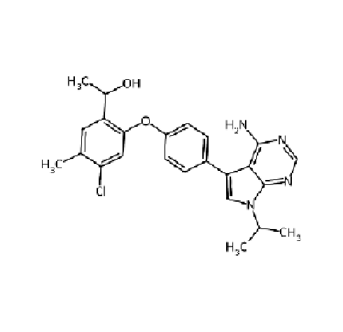 Cc1cc(C(C)O)c(Oc2ccc(-c3cn(C(C)C)c4ncnc(N)c34)cc2)cc1Cl